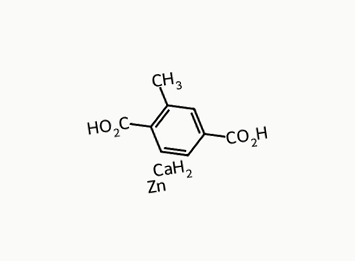 Cc1cc(C(=O)O)ccc1C(=O)O.[CaH2].[Zn]